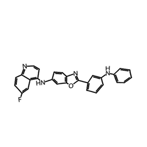 Fc1ccc2nccc(Nc3ccc4nc(-c5cccc(Nc6ccccc6)c5)oc4c3)c2c1